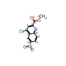 COC(=O)c1cc(Cl)c2cc([N+](=O)[O-])ccc2n1